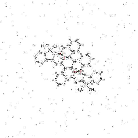 CC1(C)c2ccccc2-c2cc(N(c3ccccc3-c3ccc4c(c3)C(C)(C)c3ccccc3-4)c3ccc4ccccc4c3-c3cccc4ccccc34)ccc21